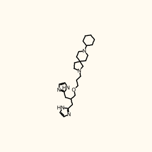 c1c[nH]c(CC(COCCCN2CCC3(CCN(C4CCCCC4)CC3)C2)Cc2ncc[nH]2)n1